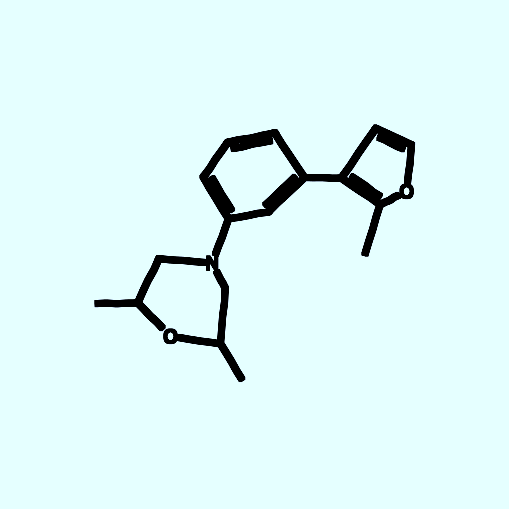 Cc1occc1-c1cccc(N2CC(C)OC(C)C2)c1